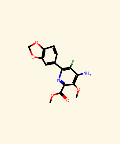 COC(=O)c1nc(-c2ccc3c(c2)OCO3)c(F)c(N)c1OC